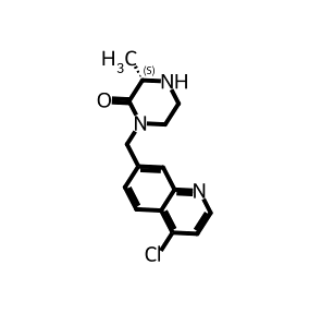 C[C@@H]1NCCN(Cc2ccc3c(Cl)ccnc3c2)C1=O